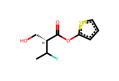 CC(F)[C@H](CO)C(=O)Oc1cccs1